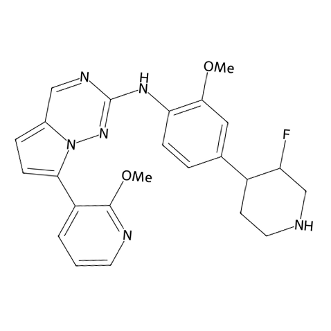 COc1cc(C2CCNCC2F)ccc1Nc1ncc2ccc(-c3cccnc3OC)n2n1